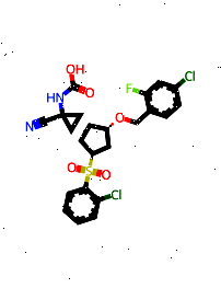 N#CC1(NC(=O)O)CC1.O=S(=O)(c1ccccc1Cl)[C@H]1CC[C@H](OCc2ccc(Cl)cc2F)C1